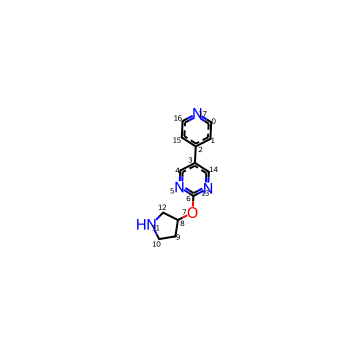 c1cc(-c2cnc(OC3CCNC3)nc2)ccn1